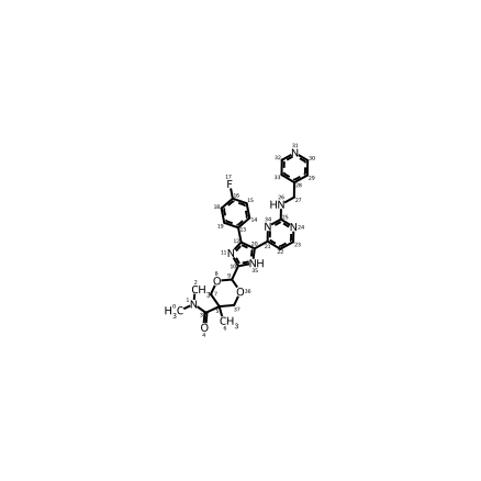 CN(C)C(=O)C1(C)COC(c2nc(-c3ccc(F)cc3)c(-c3ccnc(NCc4ccncc4)n3)[nH]2)OC1